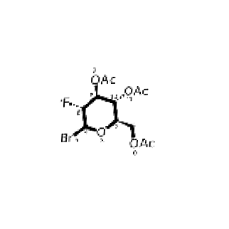 CC(=O)OC[C@H]1OC(Br)[C@H](F)[C@@H](OC(C)=O)[C@@H]1OC(C)=O